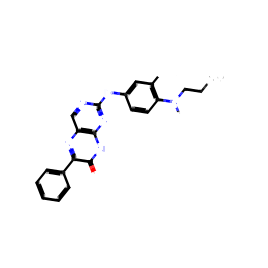 CNCCN(C)c1ccc(Nc2ncc3nc(-c4ccccc4)c(=O)[nH]c3n2)cc1C